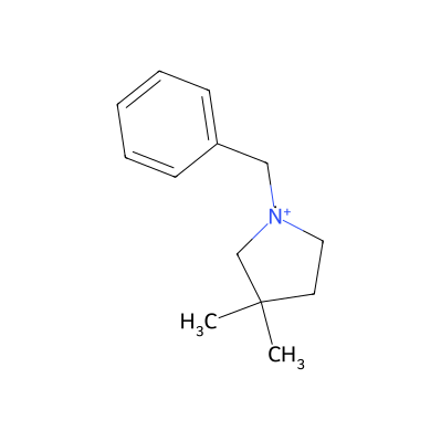 CC1(C)CC[N+](Cc2ccccc2)C1